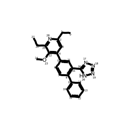 CCc1cc(-c2ccc(-c3ccccc3)c(-c3nnn[nH]3)c2)c(OC)c(CC)n1